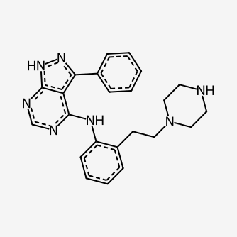 c1ccc(-c2n[nH]c3ncnc(Nc4ccccc4CCN4CCNCC4)c23)cc1